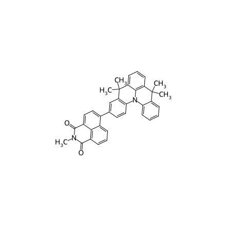 CN1C(=O)c2cccc3c(-c4ccc5c(c4)C(C)(C)c4cccc6c4N5c4ccccc4C6(C)C)ccc(c23)C1=O